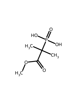 COC(=O)C(C)(C)P(=O)(O)O